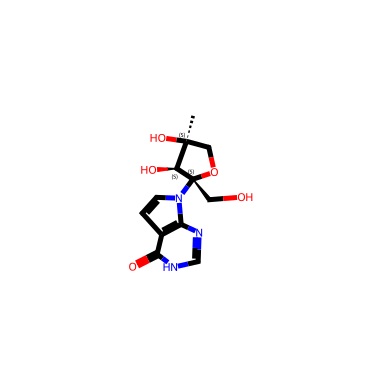 C[C@]1(O)CO[C@](CO)(n2ccc3c(=O)[nH]cnc32)[C@H]1O